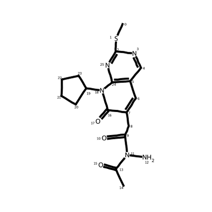 CSc1ncc2cc(CC(=O)N(N)C(C)=O)c(=O)n(C3CCCC3)c2n1